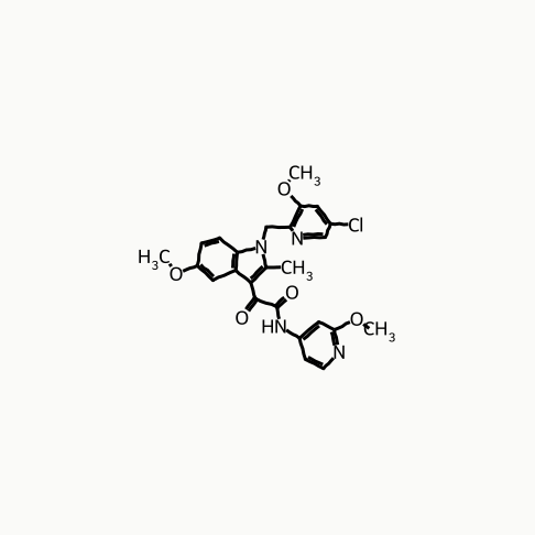 COc1ccc2c(c1)c(C(=O)C(=O)Nc1ccnc(OC)c1)c(C)n2Cc1ncc(Cl)cc1OC